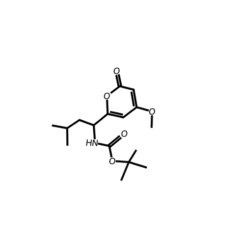 COc1cc(C(CC(C)C)NC(=O)OC(C)(C)C)oc(=O)c1